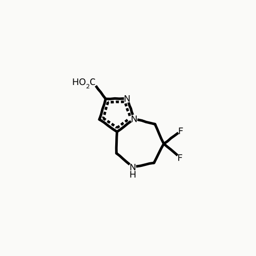 O=C(O)c1cc2n(n1)CC(F)(F)CNC2